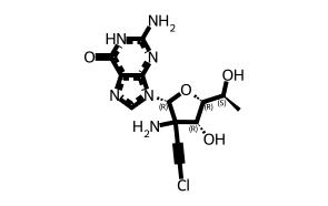 C[C@H](O)[C@H]1O[C@@H](n2cnc3c(=O)[nH]c(N)nc32)C(N)(C#CCl)[C@H]1O